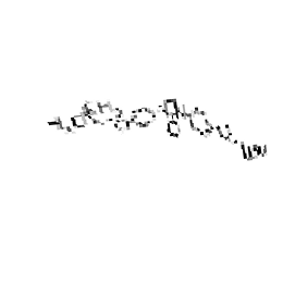 CN(C)CCOc1ccc(-n2ccn(-c3ccc(OCCC(C)(C)C)cc3)c2=O)cc1